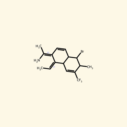 C/C=C1\C(=C(\C)N)C=CC2C1C=C(C(F)(F)F)C(C)C2Br